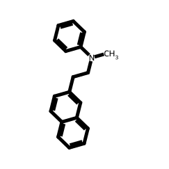 CN(CCc1ccc2ccccc2c1)c1ccccc1